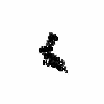 COc1ccccc1-c1noc(C)c1C(=O)N1CCN(c2cc(NC(=O)c3ccc(N4CCCC4=O)cc3)c(N=O)cc2Cl)CC1